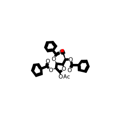 C#C[C@@H](OC(=O)c1ccccc1)[C@H]1O[C@@H](OC(C)=O)[C@H](OC(=O)c2ccccc2)[C@@H]1OC(=O)c1ccccc1